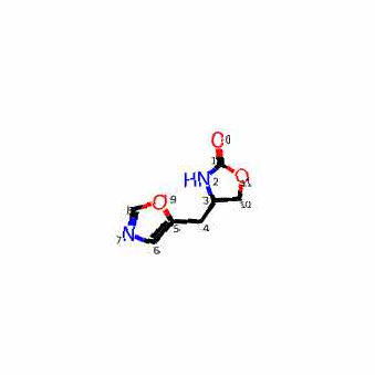 O=C1NC(Cc2cnco2)CO1